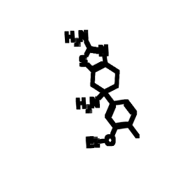 CCOc1cc(C2(N)CCc3nc(N)sc3C2)ccc1C